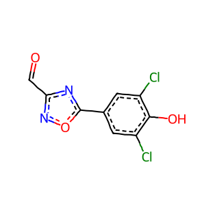 O=Cc1noc(-c2cc(Cl)c(O)c(Cl)c2)n1